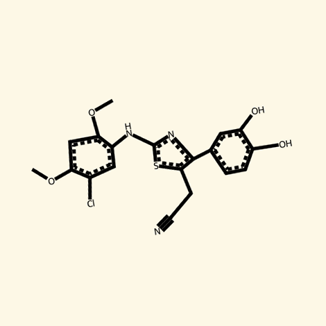 COc1cc(OC)c(Nc2nc(-c3ccc(O)c(O)c3)c(CC#N)s2)cc1Cl